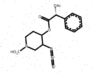 CC(=O)O[C@@H](C(=O)OC1CCN(C(=O)O)CC1N=[N+]=[N-])c1ccccc1